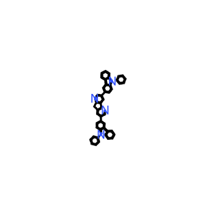 c1ccc(-n2c3ccccc3c3cc(-c4cnc5c(c4)Cc4ncc(-c6ccc7c(c6)c6ccccc6n7-c6ccccc6)cc4-5)ccc32)cc1